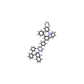 C1=Cc2cc3c(cc2CC1)-c1ccccc1-c1cc(-c2ccc(C4=CC(c5ccccc5)N(c5cc(-c6ccccc6)c6ccccc6c5)C=C4)cc2)cc2c4ccccc4n-3c12